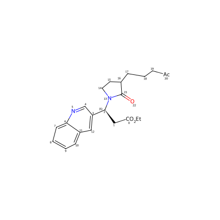 CCOC(=O)C[C@@H](c1cnc2ccccc2c1)N1CCC(CCCC(C)=O)C1=O